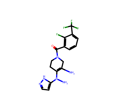 NC1=C(N(N)c2ccn[nH]2)CCN(C(=O)c2cccc(C(F)(F)F)c2F)C1